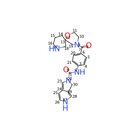 O=C(Nc1ccc(C(=O)N2CCOC3(CCCNC3)C2)cc1)N1C=C2C=CNC=C2C1